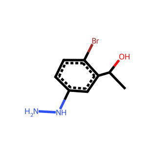 CC(O)c1cc(NN)ccc1Br